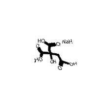 O=C(O)CC(O)(C(=O)O)C(=O)O.[NaH]